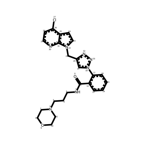 O=C(NCCCN1CCOCC1)c1ccccc1-n1cc(Cn2ccc3c(Cl)ccnc32)nn1